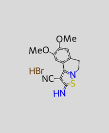 Br.COc1cc2c(cc1OC)-c1c(C#N)c(=N)sn1CC2